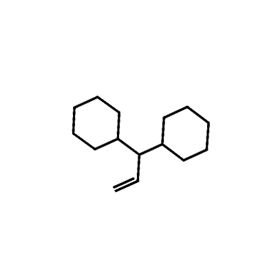 C=CC(C1CCCCC1)C1CCCCC1